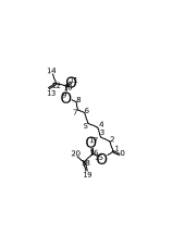 C=C(CCCCCCCOC(=O)C(=C)C)OC(=O)C(=C)C